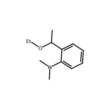 CCOC(C)c1cccc[c]1[Bi]([CH3])[CH3]